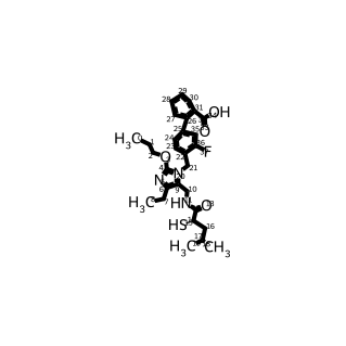 CCCOc1nc(CC)c(CNC(=O)[C@@H](S)CC(C)C)n1Cc1ccc(-c2ccccc2C(=O)O)cc1F